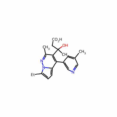 CCc1ccc2c(-c3cncc(C)c3)c(C(C)(O)CC(=O)O)c(C)nn12